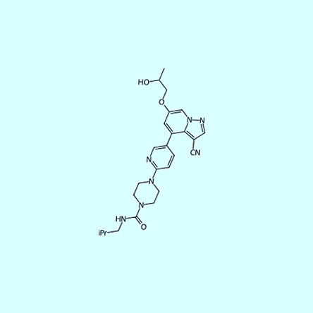 CC(C)CNC(=O)N1CCN(c2ccc(-c3cc(OCC(C)O)cn4ncc(C#N)c34)cn2)CC1